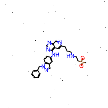 CS(=O)(=O)CCNCCCc1cc2c(Nc3ccc4c(cnn4Cc4ccccc4)c3)ncnc2cn1